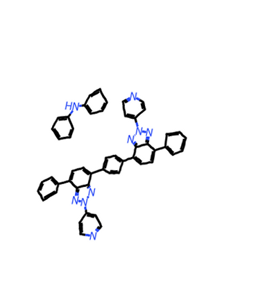 c1ccc(-c2ccc(-c3ccc(-c4ccc(-c5ccccc5)c5nn(-c6ccncc6)nc45)cc3)c3nn(-c4ccncc4)nc23)cc1.c1ccc(Nc2ccccc2)cc1